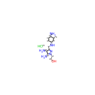 Cc1cc(NCc2nn(CCO)c(N)c2N)ccc1N.Cl